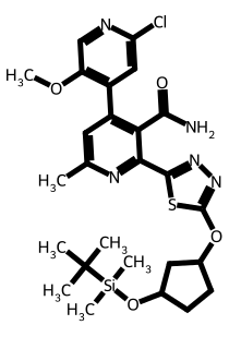 COc1cnc(Cl)cc1-c1cc(C)nc(-c2nnc(OC3CCC(O[Si](C)(C)C(C)(C)C)C3)s2)c1C(N)=O